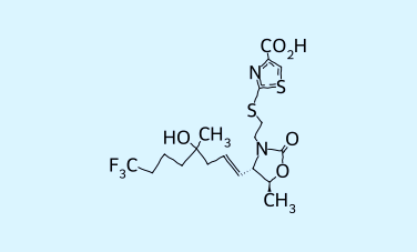 C[C@@H]1OC(=O)N(CCSc2nc(C(=O)O)cs2)[C@H]1C=CCC(C)(O)CCCC(F)(F)F